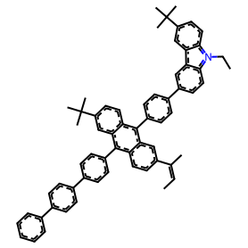 C/C=C(/C)c1ccc2c(-c3ccc(-c4ccc(-c5ccccc5)cc4)cc3)c3cc(C(C)(C)C)ccc3c(-c3ccc(-c4ccc5c(c4)c4cc(C(C)(C)C)ccc4n5CC)cc3)c2c1